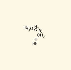 F.F.F.O.O.O.[B]